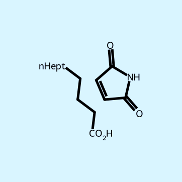 CCCCCCCCCCC(=O)O.O=C1C=CC(=O)N1